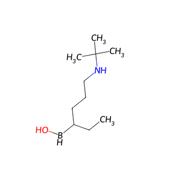 CCC(BO)CCCNC(C)(C)C